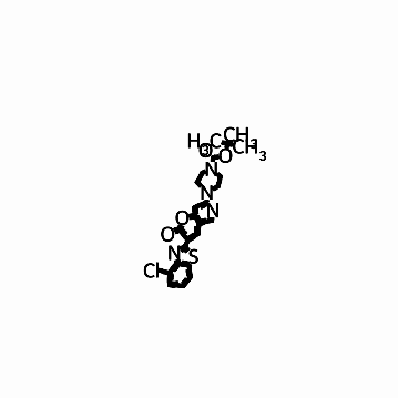 CC(C)(C)OC(=O)N1CCN(c2cc3oc(=O)c(-c4nc5c(Cl)cccc5s4)cc3cn2)CC1